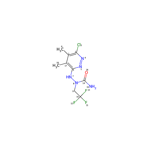 Cc1c(Cl)nnc(NN(CC(F)(F)F)C(N)=O)c1C